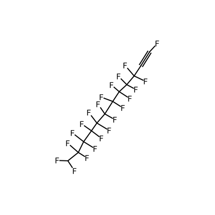 FC#CC(F)(F)C(F)(F)C(F)(F)C(F)(F)C(F)(F)C(F)(F)C(F)(F)C(F)(F)C(F)(F)C(F)F